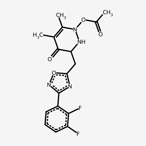 CC(=O)ON1NC(Cc2nc(-c3cccc(F)c3F)no2)C(=O)C(C)=C1C